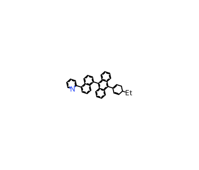 CCC1C=CC(c2c3ccccc3c(-c3cccc4c(-c5ccccn5)cccc34)c3ccccc23)=CC1